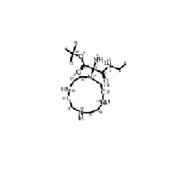 CCNC(=O)C(N)(C(=O)OC(C)(C)C)N1CCNCCNCCNCC1